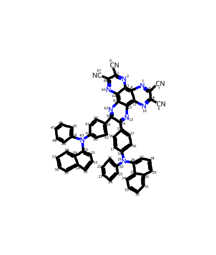 N#Cc1nc2c3nc(C#N)c(C#N)nc3c3nc(-c4ccc(N(c5ccccc5)c5cccc6ccccc56)cc4)c(-c4ccc(N(c5ccccc5)c5cccc6ccccc56)cc4)nc3c2nc1C#N